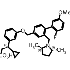 COc1ccc(F)c(-c2ccc(COc3cccc([C@H](CC(=O)O)C4CC4)c3)cc2CN2[C@H](C)CC[C@H]2C)c1